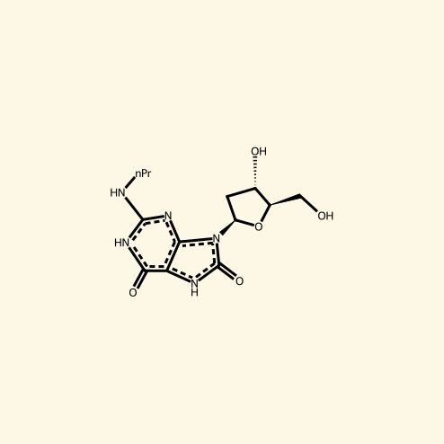 CCCNc1nc2c([nH]c(=O)n2[C@H]2C[C@H](O)[C@@H](CO)O2)c(=O)[nH]1